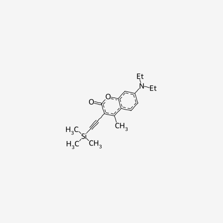 CCN(CC)c1ccc2c(C)c(C#C[Si](C)(C)C)c(=O)oc2c1